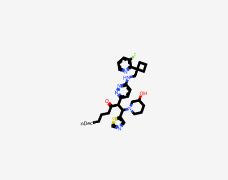 CCCCCCCCCCCCCC(=O)C(c1ccc(NCC2(c3ncccc3F)CCC2)nn1)C(c1cncs1)N1CCCC(O)C1